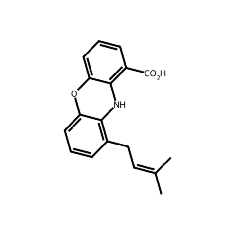 CC(C)=CCc1cccc2c1Nc1c(cccc1C(=O)O)O2